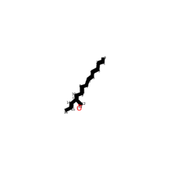 C/C=C/C=C/C=C/C/C=C/C=C(C=O)/C=C/C